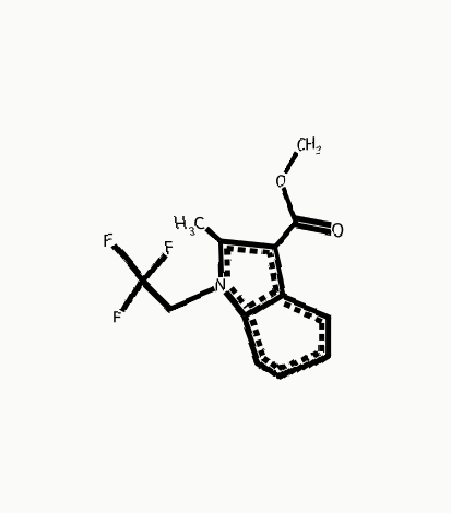 COC(=O)c1c(C)n(CC(F)(F)F)c2ccccc12